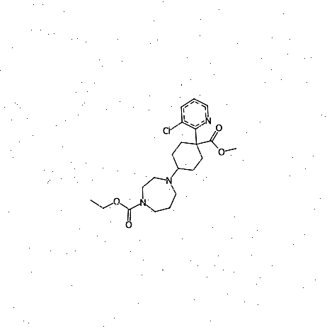 CCOC(=O)N1CCCN(C2CCC(C(=O)OC)(c3ncccc3Cl)CC2)CC1